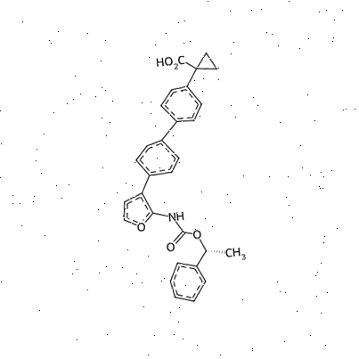 C[C@@H](OC(=O)Nc1occc1-c1ccc(-c2ccc(C3(C(=O)O)CC3)cc2)cc1)c1ccccc1